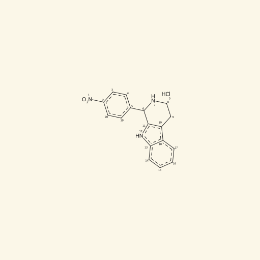 Cl.O=[N+]([O-])c1ccc(C2NCCc3c2[nH]c2ccccc32)cc1